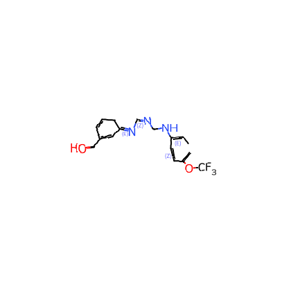 C=C(/C=C\C(=C/C)NC/N=C\N=C1\C=C(CO)C=CC1)OC(F)(F)F